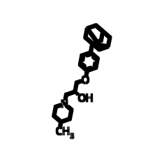 CC1CCN(C[C@H](O)COc2ccc(C34CC5CC(CC(C5)C3)C4)cc2)CC1